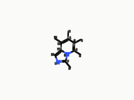 Cc1c(C)c(C)n2c(C)ncc2c1C